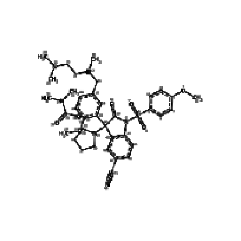 COc1ccc(S(=O)(=O)N2C(=O)C(c3cc(CN(C)CCN(C)C)ccc3OC)(N3CCC[C@@H]3OC(=O)N(C)C)c3cc(C#N)ccc32)cc1